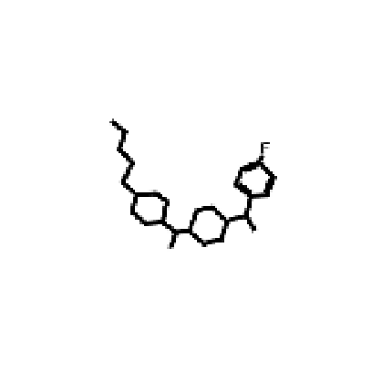 CCCCCC1CCC(C(C)C2CCC(C(C)c3ccc(F)cc3)CC2)CC1